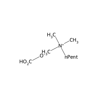 CCCCC[N+](C)(C)C.O=C([O-])O